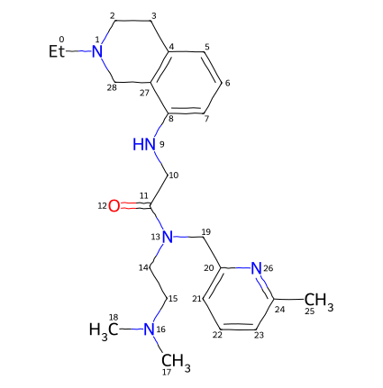 CCN1CCc2cccc(NCC(=O)N(CCN(C)C)Cc3cccc(C)n3)c2C1